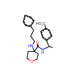 CC(NC(=O)C1(NCCCc2ccccc2)CCOCC1)c1ccc(C(=O)O)cc1